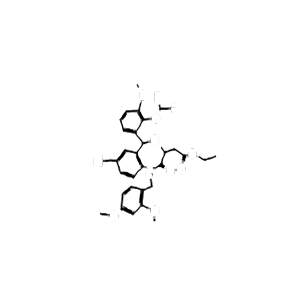 CCOC(=O)CC1OC(c2cccc(OC)c2OC(F)F)c2cc(Cl)ccc2N(Cc2ccc(OC)cc2OC)C1=O